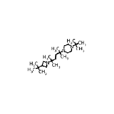 CC(C)(C)C1CN(C(C)(C)CCC(C)(C)N2CCN(C(C)(C)C)CC2)C1